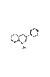 CC(C)(C)[n+]1cc(-c2ccncc2)cc2ccccc21